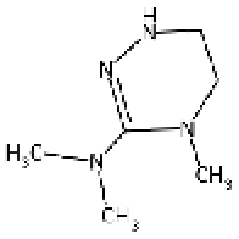 CN(C)C1=NNCCN1C